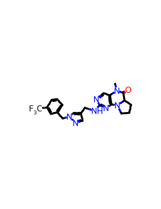 CN1C(=O)C2CCCN2c2nc(NCc3cnn(Cc4cccc(C(F)(F)F)c4)c3)ncc21